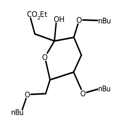 CCCCOCC1OC(O)(CC(=O)OCC)C(OCCCC)CC1OCCCC